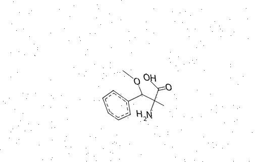 COC(c1ccccc1)C(C)(N)C(=O)O